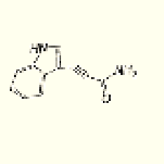 NC(=O)C#Cc1c[nH]c2ccccc12